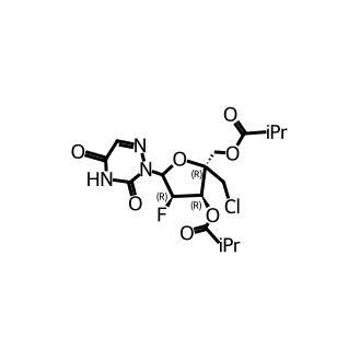 CC(C)C(=O)OC[C@@]1(CCl)OC(n2ncc(=O)[nH]c2=O)[C@H](F)[C@@H]1OC(=O)C(C)C